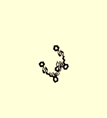 O=C(/C=C\C(=O)ON1NC(CCCN2CCN(c3ccccc3)CC2)C2=C1CCCC2)ON1NC(CCCN2CCN(c3ccccc3)CC2)C2=C1CCCC2